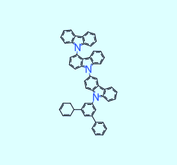 C1=CCC(c2cc(-c3ccccc3)cc(-n3c4ccccc4c4cc(-n5c6ccccc6c6c(-n7c8ccccc8c8ccccc87)cccc65)ccc43)c2)C=C1